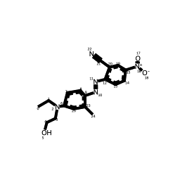 CCN(CCO)c1ccc(/N=N/c2ccc([N+](=O)[O-])cc2C#N)c(C)c1